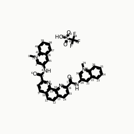 C[n+]1cc(NC(=O)c2ccc3ccc4ccc(C(=O)Nc5cc6ccccc6[n+](C)c5)nc4c3n2)cc2ccccc21.O=S(=O)(O)C(F)(F)F